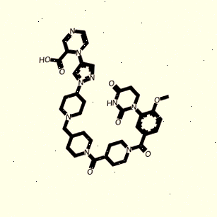 COc1ccc(C(=O)N2CCC(C(=O)N3CCC(CN4CCC(n5cc(N6C=CN=CC6C(=O)O)cn5)CC4)CC3)CC2)cc1N1CCC(=O)NC1=O